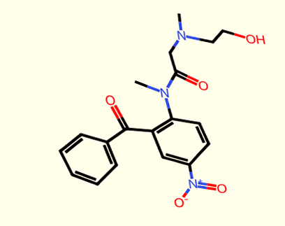 CN(CCO)CC(=O)N(C)c1ccc([N+](=O)[O-])cc1C(=O)c1ccccc1